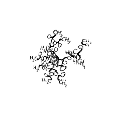 C=CC(=O)OCC(C)(CC)NC(=O)OCC(OC(=O)NC(C)(COC(=O)C=C)COC(=O)C=C)C(COC(=O)NC(C)(COC(=O)C=C)COC(=O)C=C)OC(=O)NC(C)(COC(=O)C=C)COC(=O)C=C